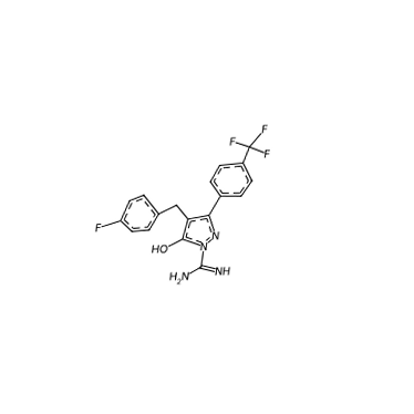 N=C(N)n1nc(-c2ccc(C(F)(F)F)cc2)c(Cc2ccc(F)cc2)c1O